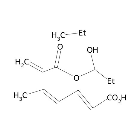 C/C=C/C=C/C(=O)O.C=CC(=O)OC(O)CC.CCC